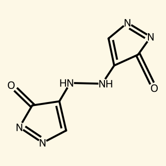 O=C1N=NC=C1NNC1=CN=NC1=O